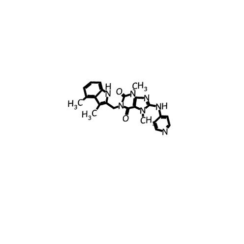 Cc1cccc2[nH]c(Cn3c(=O)c4c(nc(Nc5ccncc5)n4C)n(C)c3=O)c(C)c12